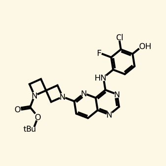 CC(C)(C)OC(=O)N1CCC12CN(c1ccc3ncnc(Nc4ccc(O)c(Cl)c4F)c3n1)C2